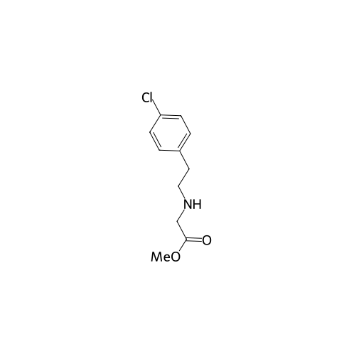 COC(=O)CNCCc1ccc(Cl)cc1